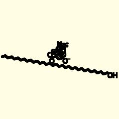 CCCCCCCCCCCCCCCCCCCCCCCCCCCCCCCCCCO.O=C([O-])CC(C(=O)[O-])S(=O)(=O)O.[Na+].[Na+]